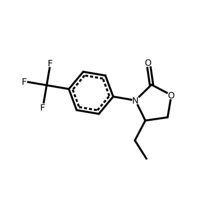 CCC1COC(=O)N1c1ccc(C(F)(F)F)cc1